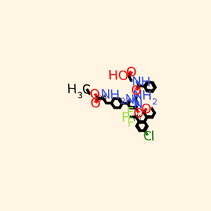 CCOC(=O)[C@@H](N)CC1CC=C(c2cc(O[C@H](c3ccc(Cl)cc3C3=CCCOC3)C(F)(F)F)nc(N)n2)CC1.O=C(O)CNC(=O)c1ccccc1